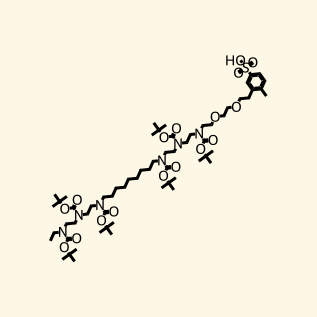 CCN(CCN(CCN(CCCCCCCCCN(CCN(CCN(CCOCCOCCc1cc(S(=O)(=O)O)ccc1C)C(=O)OC(C)(C)C)C(=O)OC(C)(C)C)C(=O)OC(C)(C)C)C(=O)OC(C)(C)C)C(=O)OC(C)(C)C)C(=O)OC(C)(C)C